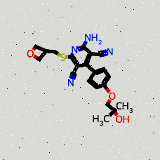 CC(C)(O)COc1ccc(-c2c(C#N)c(N)nc(SCC3COC3)c2C#N)cc1